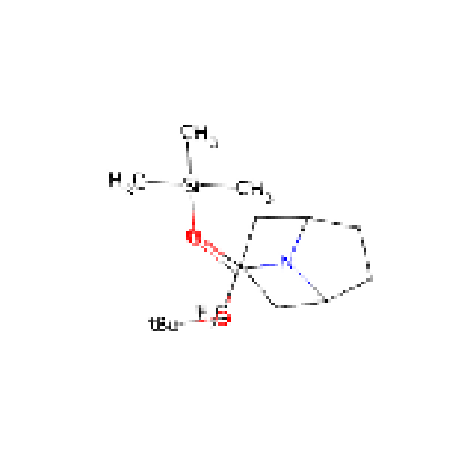 CC(C)(C)OC(=O)N1C2CCC1CC(O[Si](C)(C)C)(C(F)(F)F)C2